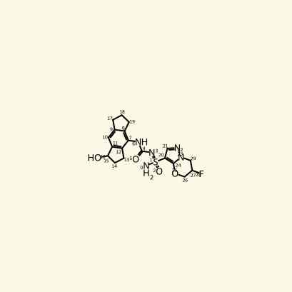 NS(=O)(=NC(=O)Nc1c2c(cc3c1CCC3O)CCC2)c1cnn2c1OCC(F)C2